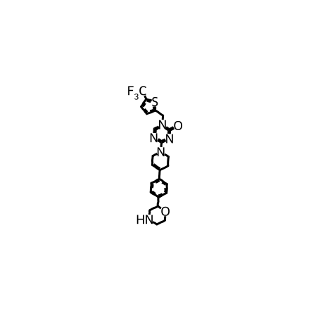 O=c1nc(N2CC=C(c3ccc(C4CNCCO4)cc3)CC2)ncn1Cc1ccc(C(F)(F)F)s1